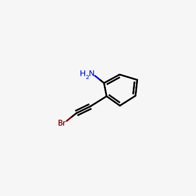 Nc1ccccc1C#CBr